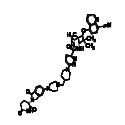 CC1(C)[C@H](NC(=O)c2ccc(N3CCC(CN4CCN(c5ccc6c(c5)CN([C@H]5CCC(=O)NC5=O)C6=O)CC4)CC3)nn2)C(C)(C)[C@H]1Oc1ccc(C#N)c2ncccc12